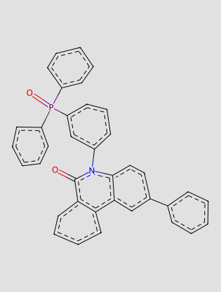 O=c1c2ccccc2c2cc(-c3ccccc3)ccc2n1-c1cccc(P(=O)(c2ccccc2)c2ccccc2)c1